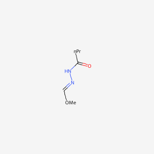 CCCC(=O)N/N=C/OC